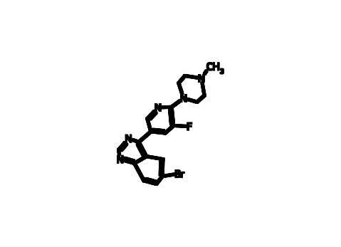 CN1CCN(c2ncc(-c3ncnc4ccc(Br)cc34)cc2F)CC1